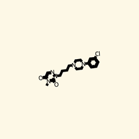 Cn1c(=O)cnn(CCCCN2CCN(c3cccc(Cl)c3)CC2)c1=O